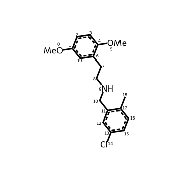 COc1ccc(OC)c(CCNCc2cc(Cl)ccc2C)c1